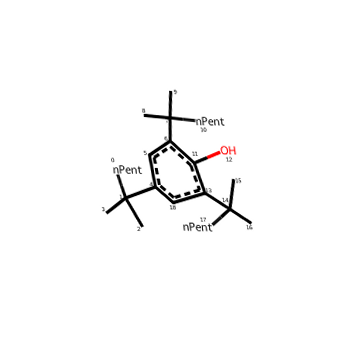 CCCCCC(C)(C)c1cc(C(C)(C)CCCCC)c(O)c(C(C)(C)CCCCC)c1